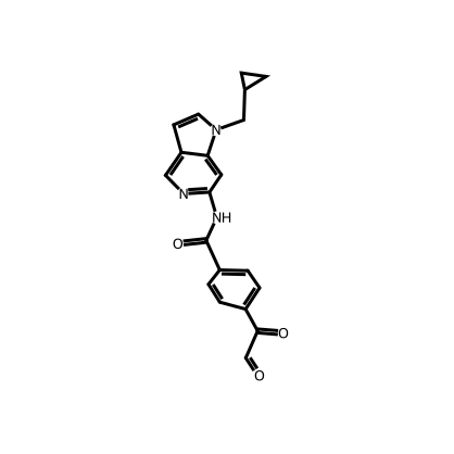 O=CC(=O)c1ccc(C(=O)Nc2cc3c(ccn3CC3CC3)cn2)cc1